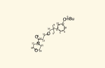 CCCCOc1cccc(C(C)(C)COCCC(=O)N2CCOCC2)c1